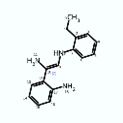 CCc1ccccc1N/C=C(\N)c1ccccc1N